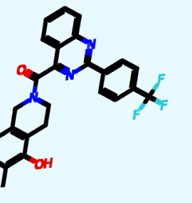 Cc1ccc2c(c1O)CCN(C(=O)c1nc(-c3ccc(C(F)(F)F)cc3)nc3ccccc13)C2